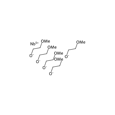 COCC[O-].COCC[O-].COCC[O-].COCC[O-].COCC[O-].[Nb+5]